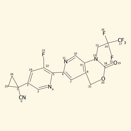 N#CC1(c2cnc(-c3cc4c(cn3)N(CC(F)(F)C(F)(F)F)C(=O)OC4)c(F)c2)CC1